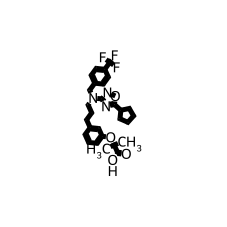 CC(C)(Oc1cccc(CCCN(Cc2ccc(C(F)(F)F)cc2)c2noc(C3CCCC3)n2)c1)C(=O)O